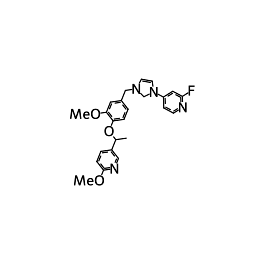 COc1ccc(C(C)Oc2ccc(CN3C=CN(c4ccnc(F)c4)C3)cc2OC)cn1